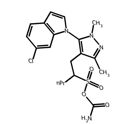 CCCC(Cc1c(C)nn(C)c1-n1ccc2ccc(Cl)cc21)S(=O)(=O)OC(N)=O